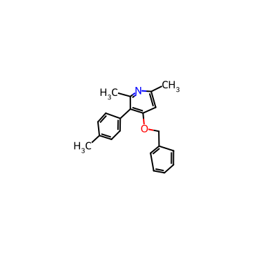 Cc1ccc(-c2c(OCc3ccccc3)cc(C)nc2C)cc1